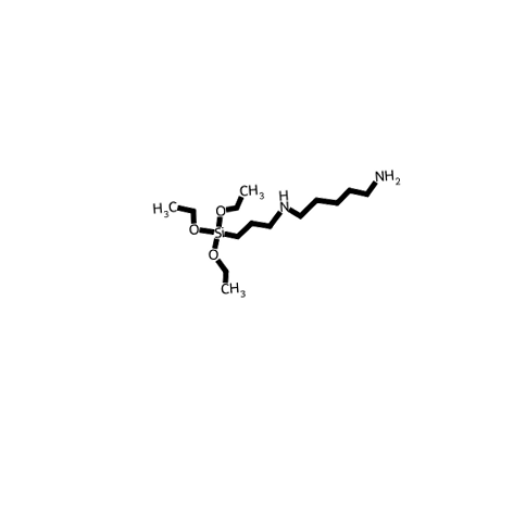 CCO[Si](CCCNCCCCCN)(OCC)OCC